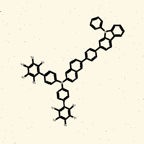 [2H]c1c([2H])c([2H])c(-c2ccc(N(c3ccc(-c4c([2H])c([2H])c([2H])c([2H])c4[2H])cc3)c3ccc4cc(-c5ccc(-c6ccc7c8ccccc8n(-c8ccccc8)c7c6)cc5)ccc4c3)cc2)c([2H])c1[2H]